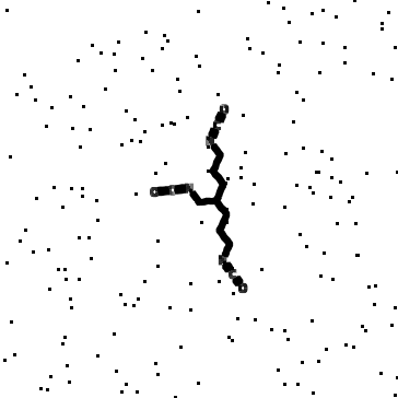 O=C=NCCCC(CCCN=C=O)CN=C=O